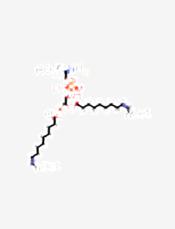 CCCCCCCC/C=C\CCCCCCCC(=O)OC[C@H](COP(=O)(O)OC[C@H](N)C(=O)O)OC(=O)CCCCCCC/C=C\CCCCCCCC